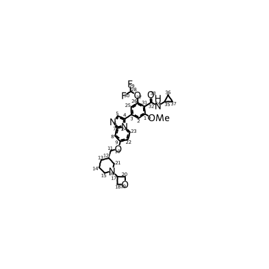 COc1cc(-c2cnc3cc(OC[C@@H]4CCCN(C5COC5)C4)ccn23)cc(OC(F)F)c1C(=O)NC1CC1